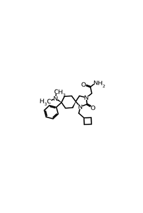 CN(C)[C@]1(c2ccccc2)CC[C@@]2(CC1)CN(CC(N)=O)C(=O)N2CC1CCC1